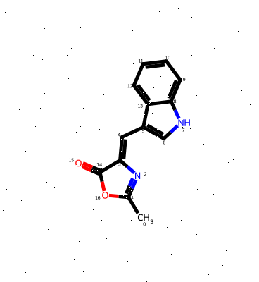 CC1=NC(=Cc2c[nH]c3ccccc23)C(=O)O1